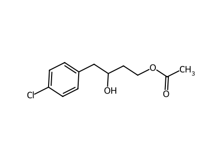 CC(=O)OCCC(O)Cc1ccc(Cl)cc1